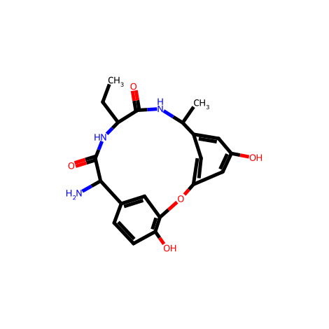 CCC1NC(=O)C(N)c2ccc(O)c(c2)Oc2cc(O)cc(c2)C(C)NC1=O